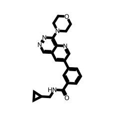 O=C(NCC1CC1)c1cccc(-c2cnc3c(N4CCOCC4)nncc3c2)c1